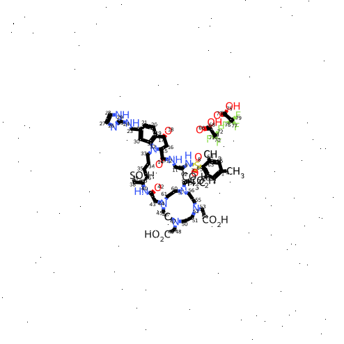 Cc1cc(C)c(S(=O)(=O)N[C@@H](CNC(=O)C2CC(=O)c3ccc(CNc4ncc[nH]4)cc3N2CCCC[C@H](CS(=O)(=O)O)NC(=O)CN2CCN(CC(=O)O)CCN(CC(=O)O)CCN(CC(=O)O)CC2)C(=O)O)c(C)c1.O=C(O)C(F)(F)F.O=C(O)C(F)(F)F